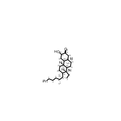 CC(C)CCC[C@@H](C)[C@H]1CC[C@H]2[C@@H]3CC[C@@H]4CC(=O)C(O)C[C@]4(C)[C@H]3CC[C@]12C